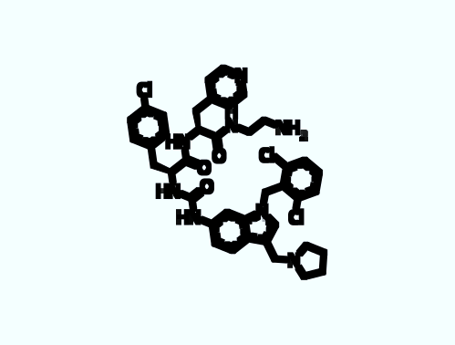 NCCNC(=O)[C@H](Cc1ccncc1)NC(=O)[C@H](Cc1ccc(Cl)cc1)NC(=O)Nc1ccc2c(CN3CCCC3)cn(Cc3c(Cl)cccc3Cl)c2c1